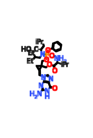 CCC(CC)CN([C@@H](CC(C)C)C(=O)O)[P@](=O)(OCC1(COC(=O)[C@@H](N)C(C)C)C/C1=C/n1cnc2c(=O)[nH]c(N)nc21)Oc1ccccc1